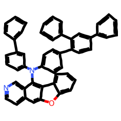 c1ccc(-c2cccc(N(c3ccc(-c4ccc(-c5ccccc5)cc4-c4ccccc4)cc3)c3c4cnccc4cc4oc5ccccc5c34)c2)cc1